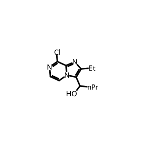 CCCC(O)c1c(CC)nc2c(Cl)nccn12